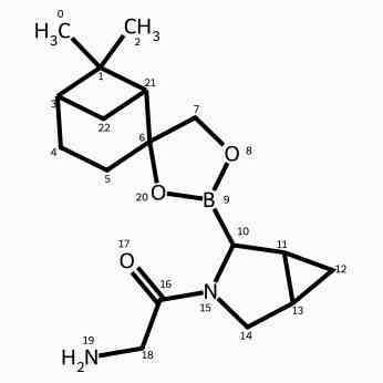 CC1(C)C2CCC3(COB(C4C5CC5CN4C(=O)CN)O3)C1C2